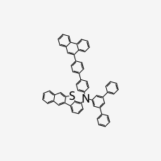 c1ccc(-c2cc(-c3ccccc3)cc(N(c3ccc(-c4ccc(-c5cc6ccccc6c6ccccc56)cc4)cc3)c3cccc4c3sc3cc5ccccc5cc34)c2)cc1